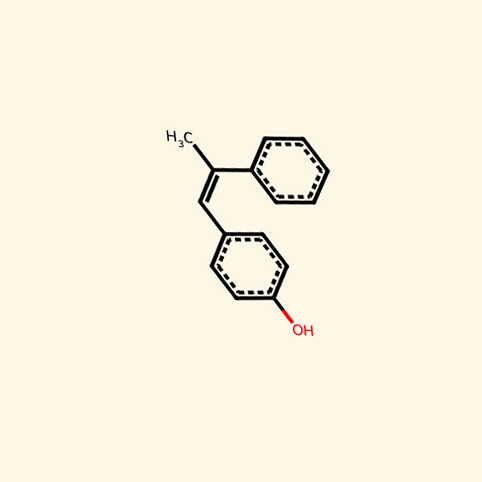 CC(=Cc1ccc(O)cc1)c1ccccc1